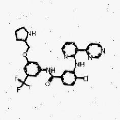 O=C(Nc1cc(OCC2CCCN2)cc(C(F)(F)F)c1)c1ccc(Cl)c(Nc2ncccc2-c2ccncn2)c1